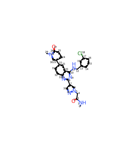 CNC(=O)Cn1cc(-c2nc(NCc3cccc(Cl)c3)c3cc(-c4ccc(=O)n(C)c4)ccc3n2)cn1